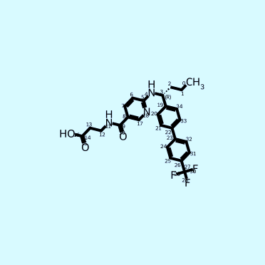 CCC[C@@H](Nc1ccc(C(=O)NCCC(=O)O)cn1)c1ccc(-c2ccc(C(F)(F)F)cc2)cc1